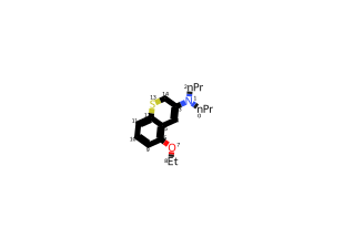 CCCN(CCC)C1=Cc2c(OCC)cccc2SC1